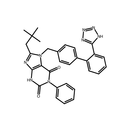 CC(C)(C)Cc1nc2[nH]c(=O)n(-c3ccccc3)c(=O)c2n1Cc1ccc(-c2ccccc2-c2nnn[nH]2)cc1